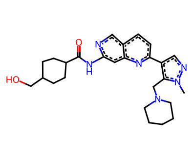 Cn1ncc(-c2ccc3cnc(NC(=O)C4CCC(CO)CC4)cc3n2)c1CN1CCCCC1